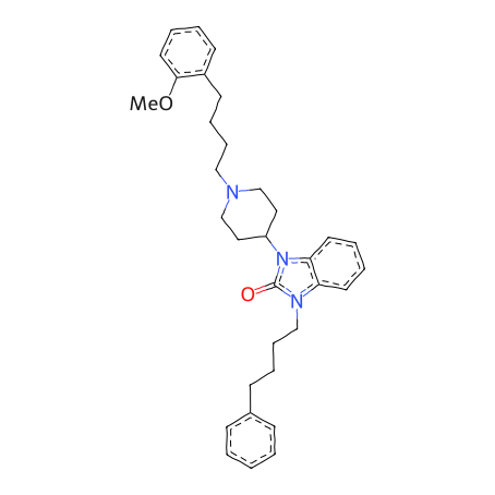 COc1ccccc1CCCCN1CCC(n2c(=O)n(CCCCc3ccccc3)c3ccccc32)CC1